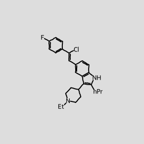 CCCc1[nH]c2ccc(/C=C(\Cl)c3ccc(F)cc3)cc2c1C1CCN(CC)CC1